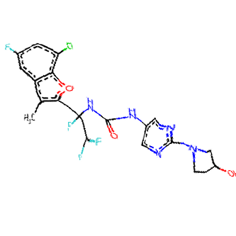 Cc1c(C(F)(NC(=O)Nc2cnc(N3CC(O)C3)nc2)C(F)F)oc2c(Cl)cc(F)cc12